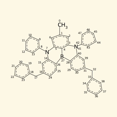 Cc1cc2c3c(c1)N(c1ccccc1)c1cc(Cc4ccccc4)ccc1B3c1ccc(Cc3ccccc3)cc1N2c1ccccc1